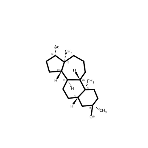 CC(=O)[C@H]1CC[C@H]2[C@@H]3CC[C@H]4C[C@](C)(O)CC[C@]4(C)[C@H]3CCC[C@]12C